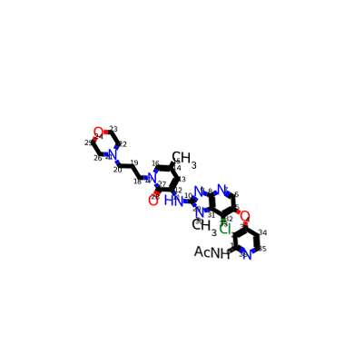 CC(=O)Nc1cc(Oc2cnc3nc(Nc4cc(C)cn(CCCN5CCOCC5)c4=O)n(C)c3c2Cl)ccn1